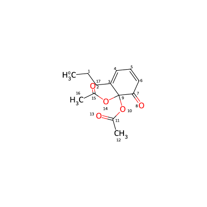 CCCC1=CC=CC(=O)C1(OC(C)=O)OC(C)=O